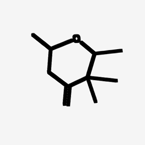 C=C1CC(C)OC(C)C1(C)C